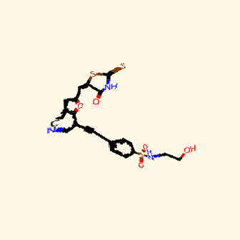 O=C1NC(=S)SC1=Cc1cc2cncc(C#Cc3ccc(S(=O)(=O)NCCO)cc3)c2o1